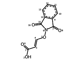 O=C(O)C=CON1C(=O)c2ccccc2C1=O